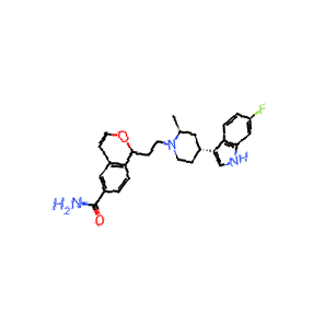 C[C@H]1C[C@H](c2c[nH]c3cc(F)ccc23)CCN1CCC1OCCc2cc(C(N)=O)ccc21